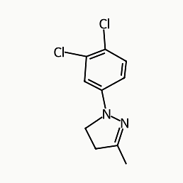 CC1=NN(c2ccc(Cl)c(Cl)c2)CC1